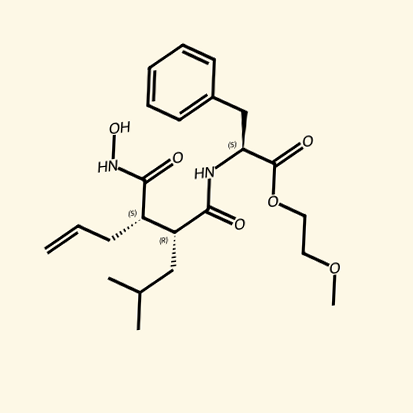 C=CC[C@H](C(=O)NO)[C@@H](CC(C)C)C(=O)N[C@@H](Cc1ccccc1)C(=O)OCCOC